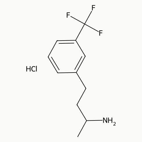 CC(N)CCc1cccc(C(F)(F)F)c1.Cl